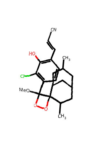 COC1(c2ccc(/C=C/C#N)c(O)c2Cl)OOC12C(C)CC1CC(C)CC2C1